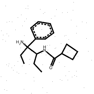 CCC(NC(=O)C1CCC1)C(N)(CC)c1ccccc1